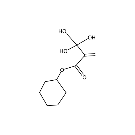 C=C(C(=O)OC1CCCCC1)C(O)(O)O